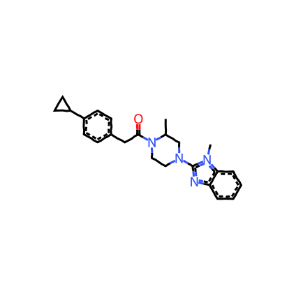 CC1CN(c2nc3ccccc3n2C)CCN1C(=O)Cc1ccc(C2CC2)cc1